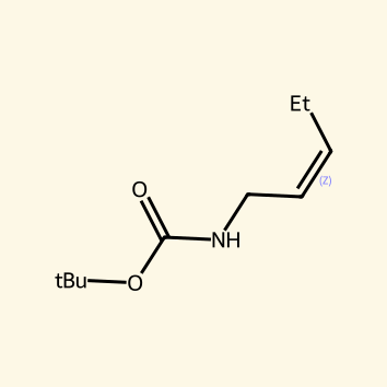 CC/C=C\CNC(=O)OC(C)(C)C